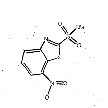 O=[N+]([O-])c1cccc2nc(S(=O)(=O)O)sc12